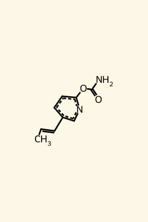 CC=Cc1ccc(OC(N)=O)nc1